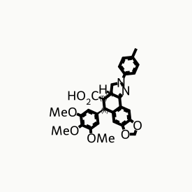 COc1cc([C@@H]2c3cc4c(cc3C3=NN(c5ccc(C)cc5)C[C@H]3[C@@H]2C(=O)O)OCO4)cc(OC)c1OC